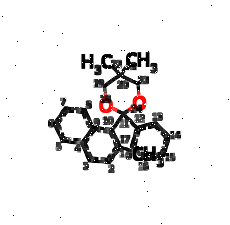 Cc1ccc2ccccc2c1C1(c2ccccc2)OCC(C)(C)CO1